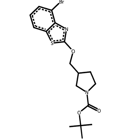 CC(C)(C)OC(=O)N1CCC(COc2nc3c(Br)cccc3s2)C1